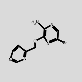 Nc1ncc(Br)nc1OCc1ccncn1